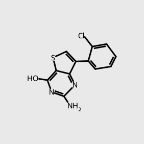 Nc1nc(O)c2scc(-c3ccccc3Cl)c2n1